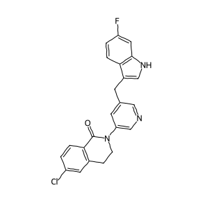 O=C1c2ccc(Cl)cc2CCN1c1cncc(Cc2c[nH]c3cc(F)ccc23)c1